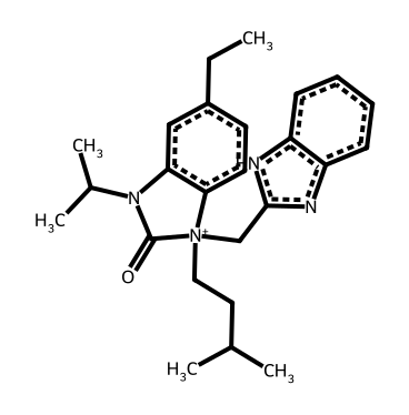 CCc1ccc2c(c1)N(C(C)C)C(=O)[N+]2(CCC(C)C)Cc1nc2ccccc2[nH]1